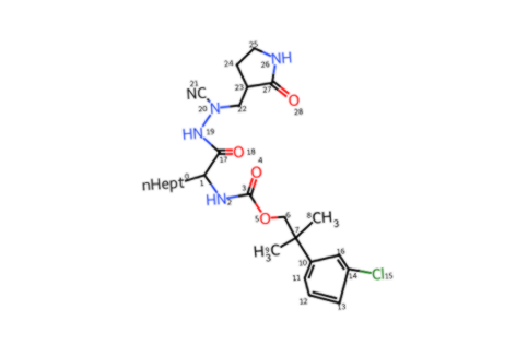 CCCCCCCC(NC(=O)OCC(C)(C)c1cccc(Cl)c1)C(=O)NN(C#N)CC1CCNC1=O